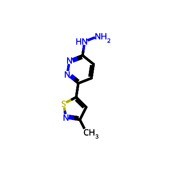 Cc1cc(-c2ccc(NN)nn2)sn1